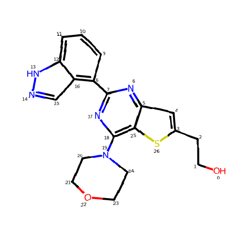 OCCc1cc2nc(-c3cccc4[nH]ncc34)nc(N3CCOCC3)c2s1